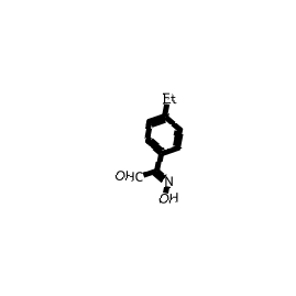 CCc1ccc(C(C=O)=NO)cc1